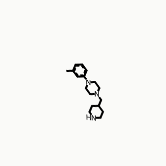 Cc1cccc(N2CCN(CC3CCNCC3)CC2)c1